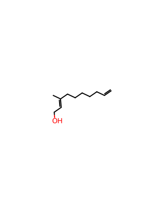 C=CCCCCCC(C)=CCO